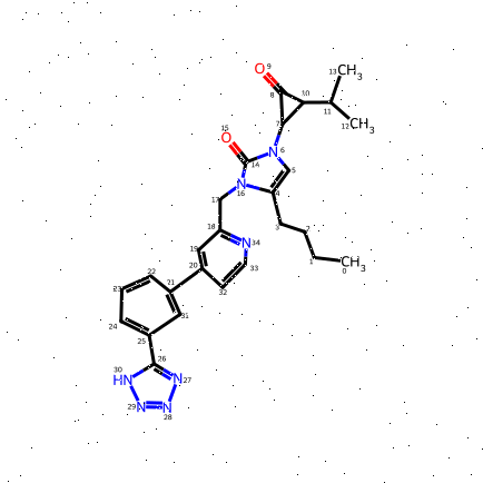 CCCCc1cn(C2C(=O)C2C(C)C)c(=O)n1Cc1cc(-c2cccc(-c3nnn[nH]3)c2)ccn1